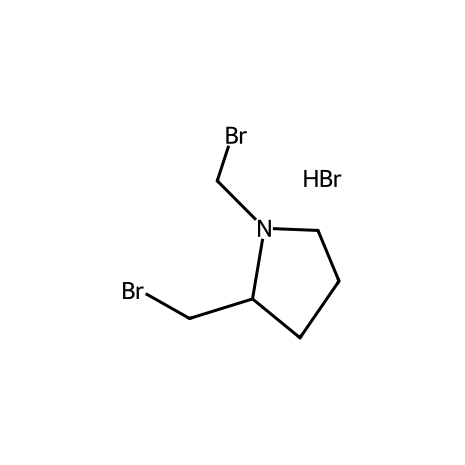 Br.BrCC1CCCN1CBr